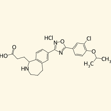 CC(C)Oc1ccc(-c2nc(-c3ccc4c(c3)CCCNC4CCC(=O)O)no2)cc1Cl.Cl